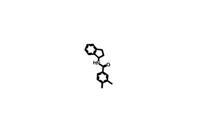 Cc1ccc(C(=O)NC2CCc3ccccc32)cc1C